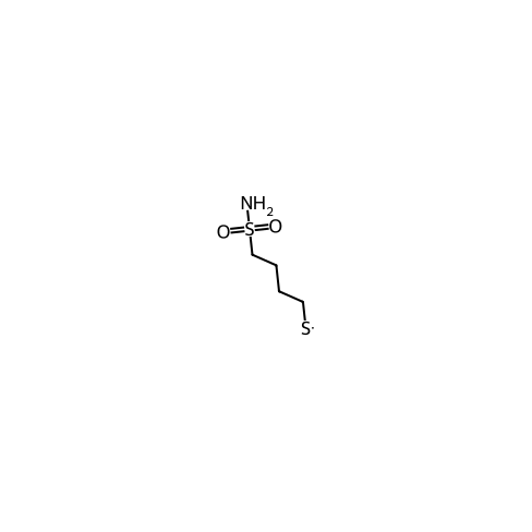 NS(=O)(=O)CCCC[S]